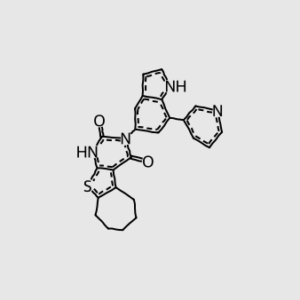 O=c1[nH]c2sc3c(c2c(=O)n1-c1cc(-c2cccnc2)c2[nH]ccc2c1)CCCCC3